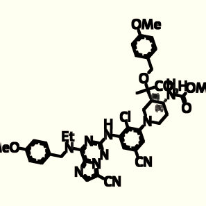 CCN(Cc1ccc(OC)cc1)c1nc(Nc2cc(C#N)cc(N3CC[C@@H](NC(=O)OC)[C@H](C(C)(OCc4ccc(OC)cc4)C(=O)O)C3)c2Cl)nn2c(C#N)cnc12